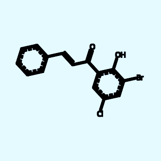 O=C(/C=C/c1ccccc1)c1cc(Cl)cc(Br)c1O